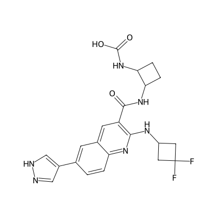 O=C(O)NC1CCC1NC(=O)c1cc2cc(-c3cn[nH]c3)ccc2nc1NC1CC(F)(F)C1